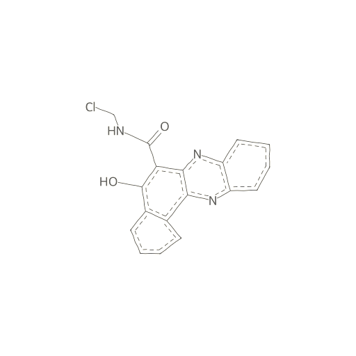 O=C(NCCl)c1c(O)c2ccccc2c2nc3ccccc3nc12